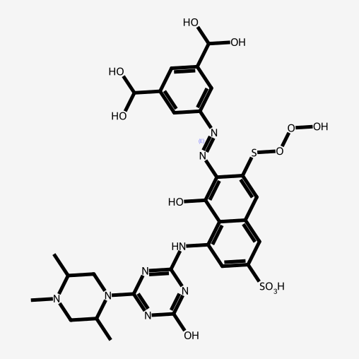 CC1CN(c2nc(O)nc(Nc3cc(S(=O)(=O)O)cc4cc(SOOO)c(/N=N/c5cc(C(O)O)cc(C(O)O)c5)c(O)c34)n2)C(C)CN1C